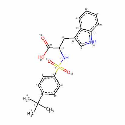 CC(C)(C)c1ccc(S(=O)(=O)NC(Cc2c[nH]c3ccccc23)C(=O)O)cc1